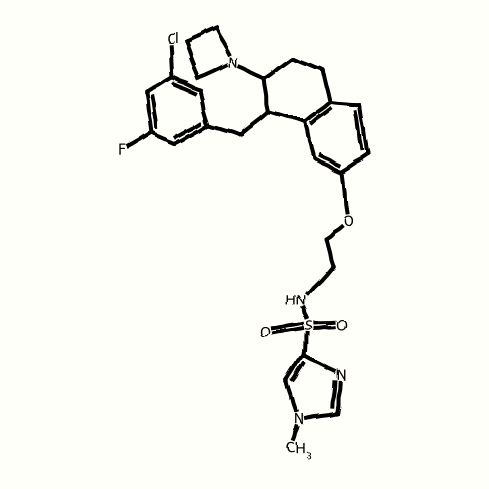 Cn1cnc(S(=O)(=O)NCCOc2ccc3c(c2)C(Cc2cc(F)cc(Cl)c2)C(N2CCC2)CC3)c1